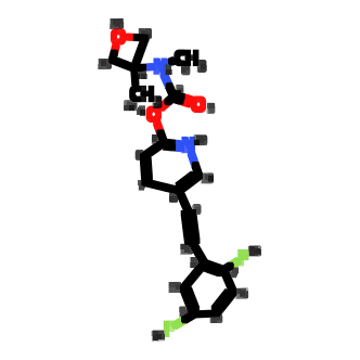 CN(C(=O)Oc1ccc(C#Cc2cc(F)ccc2F)cn1)C1(C)COC1